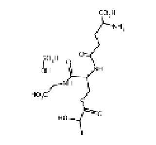 CC(O)C(=O)SCC(NC(=O)CCC(N)C(=O)O)C(=O)NCC(=O)O.O=S(=O)(O)O